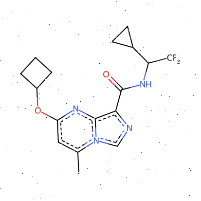 Cc1cc(OC2CCC2)nc2c(C(=O)NC(C3CC3)C(F)(F)F)ncn12